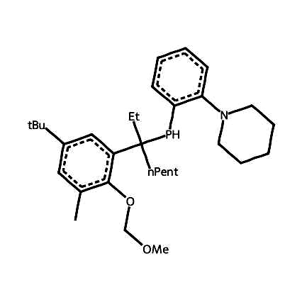 CCCCCC(CC)(Pc1ccccc1N1CCCCC1)c1cc(C(C)(C)C)cc(C)c1OCOC